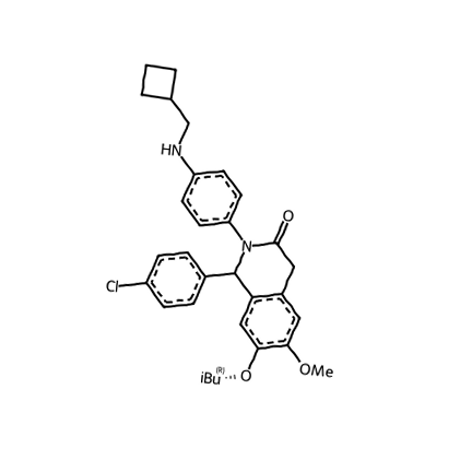 CC[C@@H](C)Oc1cc2c(cc1OC)CC(=O)N(c1ccc(NCC3CCC3)cc1)C2c1ccc(Cl)cc1